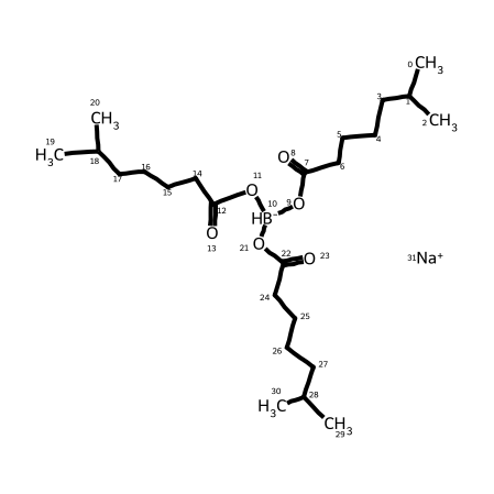 CC(C)CCCCC(=O)O[BH-](OC(=O)CCCCC(C)C)OC(=O)CCCCC(C)C.[Na+]